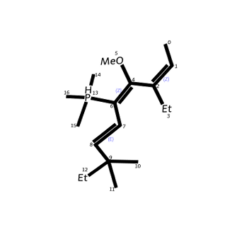 C\C=C(CC)/C(OC)=C(\C=C\C(C)(C)CC)[PH](C)(C)C